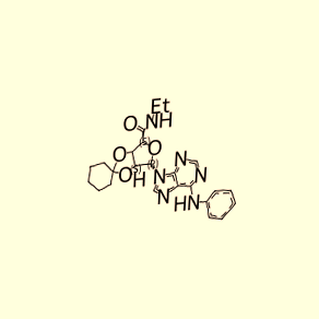 CCNC(=O)[C@H]1O[C@@H](n2cnc3c(Nc4ccccc4)ncnc32)[C@H]2OC3(CCCCC3)OC12